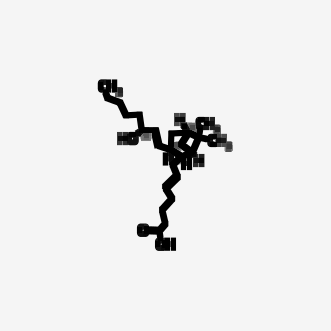 CCCCC[C@H](O)C=C[C@H]1C[C@H]2C[C@@H]([C@@H]1CC=CCCCC(=O)O)C2(C)C